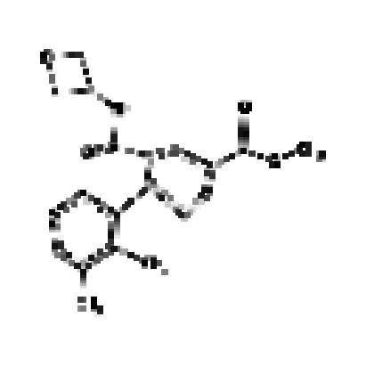 COC(=O)c1ccc(-c2cccc(C)c2C)c(C(=O)NC2COC2)c1